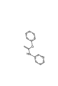 C=C(Nc1cccnc1)Oc1ccccc1